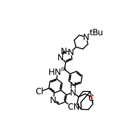 CC(C)(C)N1CCC(n2cc([C@@H](Nc3cc(Cl)c4ncc(C#N)c(NC56CCC7CC(CC(C7)C5)C6)c4c3)c3ccccc3)nn2)CC1